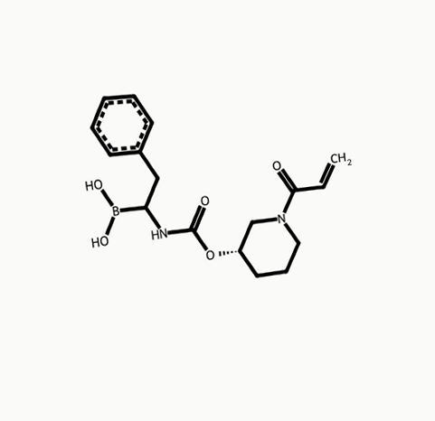 C=CC(=O)N1CCC[C@H](OC(=O)NC(Cc2ccccc2)B(O)O)C1